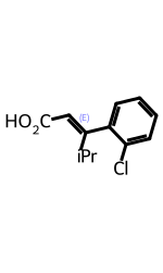 CC(C)/C(=C\C(=O)O)c1ccccc1Cl